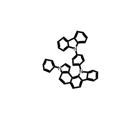 c1ccc(-n2ccc3c4c(ccc5c6ccccc6n(-c6ccc(-n7c8ccccc8c8ccccc87)cc6)c54)ccc32)cc1